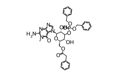 Cn1c(N)nc2ncn([C@@H]3O[C@H](COC(=O)Cc4ccccc4)[C@@H](O)[C@H](OP(=O)(OCc4ccccc4)OCc4ccccc4)[C@H]3O)c2c1=O